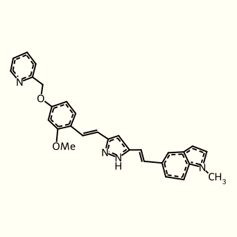 COc1cc(OCc2ccccn2)ccc1/C=C/c1cc(C=Cc2ccc3c(ccn3C)c2)[nH]n1